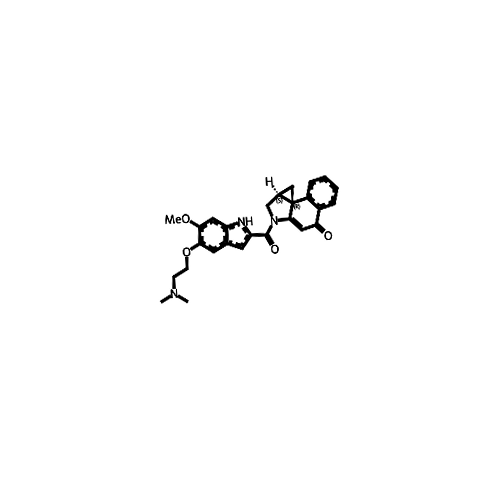 COc1cc2[nH]c(C(=O)N3C[C@H]4C[C@@]45C3=CC(=O)c3ccccc35)cc2cc1OCCN(C)C